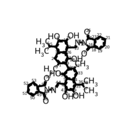 Cc1cc2c(C(C)C)c(O)c(O)c(/C=N/N3C(=O)c4ccccc4C3=O)c2c(O)c1-c1c(C)cc2c(C(C)C)c(O)c(O)c(/C=N/N3C(=O)c4ccccc4C3=O)c2c1O